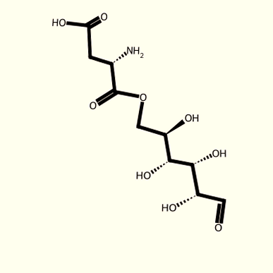 N[C@@H](CC(=O)O)C(=O)OC[C@@H](O)[C@@H](O)[C@H](O)[C@@H](O)C=O